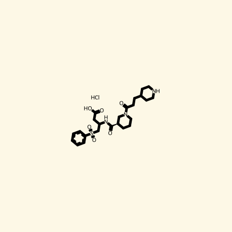 Cl.O=C(O)CC(CS(=O)(=O)c1ccccc1)NC(=O)[C@@H]1CCCN(C(=O)CCC2CCNCC2)C1